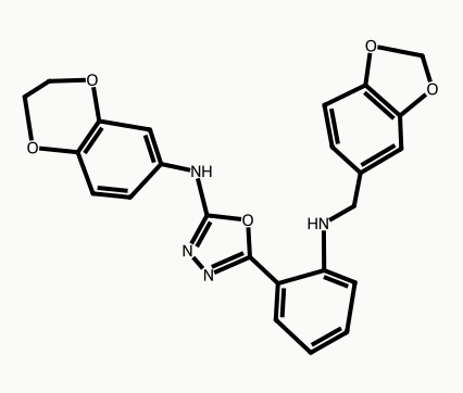 c1ccc(-c2nnc(Nc3ccc4c(c3)OCCO4)o2)c(NCc2ccc3c(c2)OCO3)c1